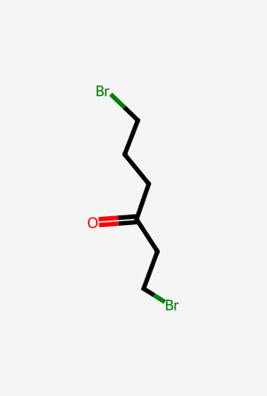 O=C(CCBr)CCCBr